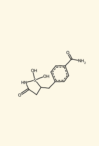 NC(=O)c1ccc(CC2CC(=O)NS2(O)O)cc1